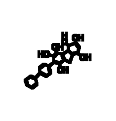 OC1=CC(O)=C2Cc3c(O)c(-c4ccc(-c5ccccc5)cc4)c(O)c(O)c3C2C1O